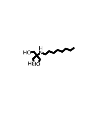 CCCCCCCCNC(CO)(CO)CO